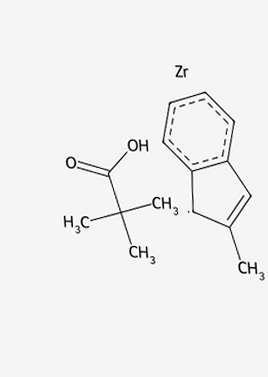 CC(C)(C)C(=O)O.CC1=Cc2ccccc2[CH]1.[Zr]